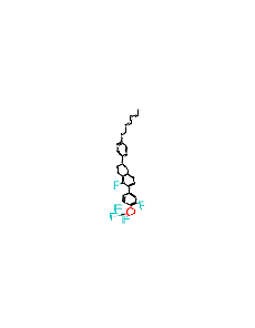 CCCCCCCc1ccc(-c2ccc3c(F)c(-c4ccc(OC(F)(F)F)c(F)c4)ccc3c2)cc1